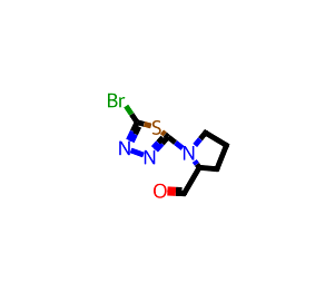 O=CC1CCCN1c1nnc(Br)s1